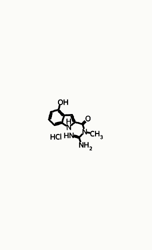 CN(C(=N)N)C(=O)c1cc2c(O)cccc2[nH]1.Cl